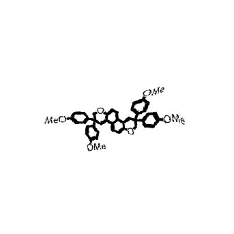 COc1ccc(C2(c3ccc(OC)cc3)C=c3c(ccc4c5c(ccc34)OCC(c3ccc(OC)cc3)(c3ccc(OC)cc3)C=5)OC2)cc1